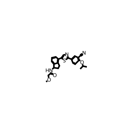 COCC(=O)NC1CCc2c(-c3cnc(-c4ccc(OC(C)C)c(C#N)c4)s3)cccc21